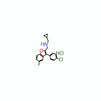 Cc1ccc2oc(CNCC3CC3)c(-c3ccc(Cl)cc3)c2c1.Cl